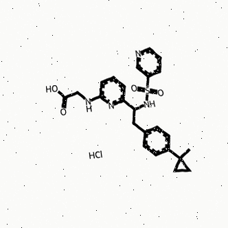 CC1(c2ccc(CC(NS(=O)(=O)c3cccnc3)c3cccc(NCC(=O)O)n3)cc2)CC1.Cl